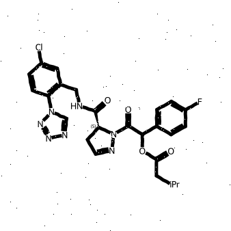 CC(C)CC(=O)OC(C(=O)N1N=CC[C@H]1C(=O)NCc1cc(Cl)ccc1-n1cnnn1)c1ccc(F)cc1